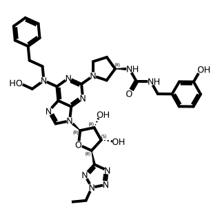 CCn1nnc([C@H]2O[C@@H](n3cnc4c(N(CO)CCc5ccccc5)nc(N5CC[C@@H](NC(=O)NCc6cccc(O)c6)C5)nc43)[C@H](O)[C@@H]2O)n1